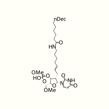 CCCCCCCCCCCCCCCC(=O)NCCCC/C=C/C[C@H]1C(OP(=O)(O)OC)[C@@H](COC)O[C@H]1n1ccc(=O)[nH]c1=O